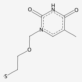 Cc1cn(COCC[S])c(=O)[nH]c1=O